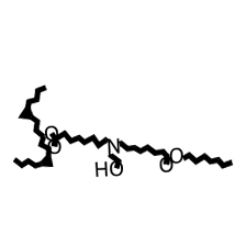 CCCCCCCCOC(=O)CCCCCCCN(CCO)CCCCCCCC(=O)OC(CCC1CC1CCCC)CCC1CC1CCCC